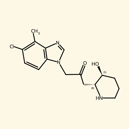 Cc1c(Cl)ccc2c1ncn2CC(=O)C[C@H]1NCCC[C@@H]1O